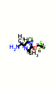 Cc1nc(C(C)N)cnc1OCC(F)(F)F.Cl